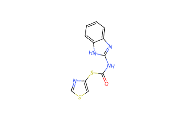 O=C(Nc1nc2ccccc2[nH]1)Sc1cscn1